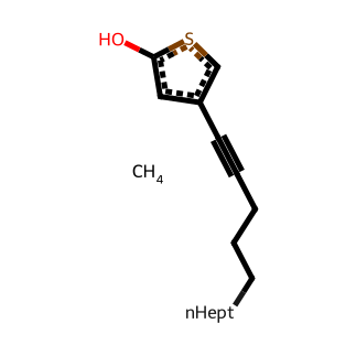 C.CCCCCCCCCCC#Cc1csc(O)c1